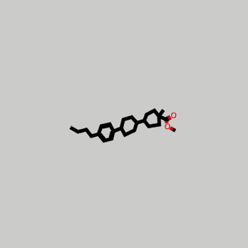 CCCCc1ccc(C2CCC(C3CCC(C)(C(=O)OC)CC3)CC2)cc1